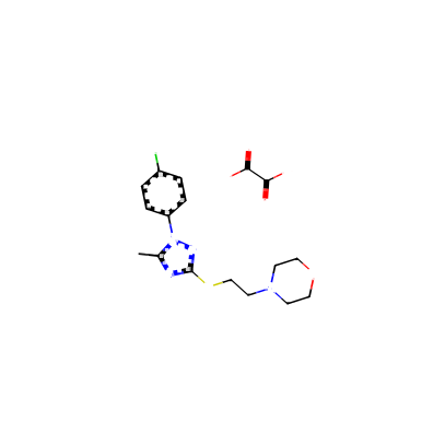 CCc1nc(SCCN2CCOCC2)nn1-c1ccc(Cl)cc1.O=C(O)C(=O)O